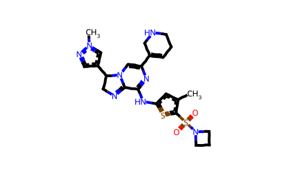 Cc1cc(NC2=NC(C3=CCCNC3)=CN3C2=NCC3c2cnn(C)c2)sc1S(=O)(=O)N1CCC1